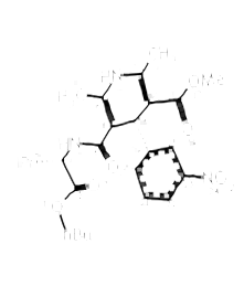 CCCCOC(=O)[C@@H](NC(=O)C1=C(C)NC(C)=C(C(=O)OC)[C@@H]1c1cccc([N+](=O)[O-])c1)C(C)C